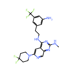 CNc1nc(NCCc2cc(N)cc(C(F)(F)F)c2)c2cc(N3CCC(F)(F)CC3)ncc2n1